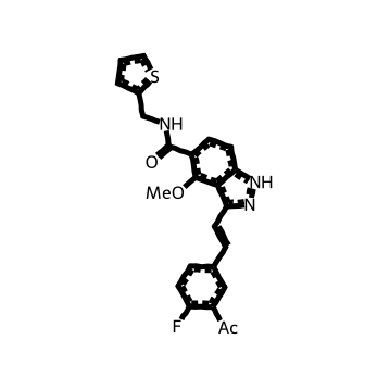 COc1c(C(=O)NCc2cccs2)ccc2[nH]nc(/C=C/c3ccc(F)c(C(C)=O)c3)c12